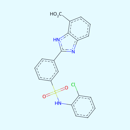 O=C(O)c1cccc2nc(-c3cccc(S(=O)(=O)Nc4ccccc4Cl)c3)[nH]c12